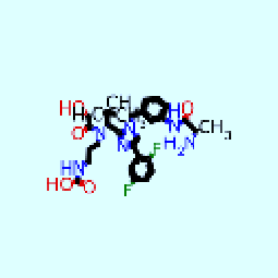 C[C@H](N)C(=O)Nc1cccc(Cn2cc(-c3cc(F)ccc3F)nc2[C@H](N(CCCNC(=O)O)C(=O)CO)C(C)(C)C)c1